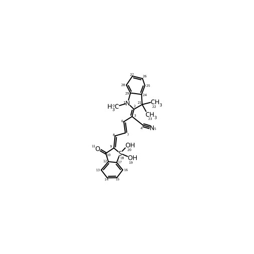 CN1C(=C(C#N)C=CC=C2C(=O)c3ccccc3S2(O)O)C(C)(C)c2ccccc21